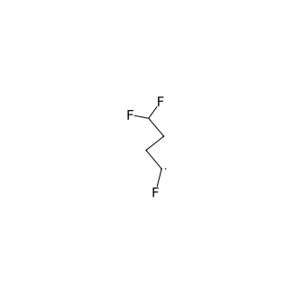 F[CH]CCC(F)F